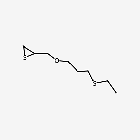 CCSCCCOCC1CS1